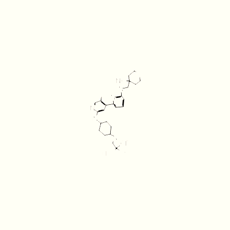 CC(O)(CNC1CCC(Nc2cc(-c3cccc(NCC4(C#N)CCOCC4)n3)c(Cl)cn2)CC1)C(F)(F)F